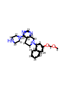 COCOc1cc(N2CCc3c(ncnc3N3CCNCC3)C2)c2ccccc2c1